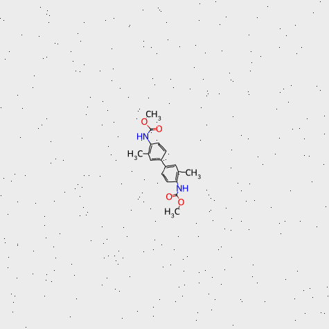 COC(=O)Nc1ccc(-c2ccc(NC(=O)OC)c(C)c2)cc1C